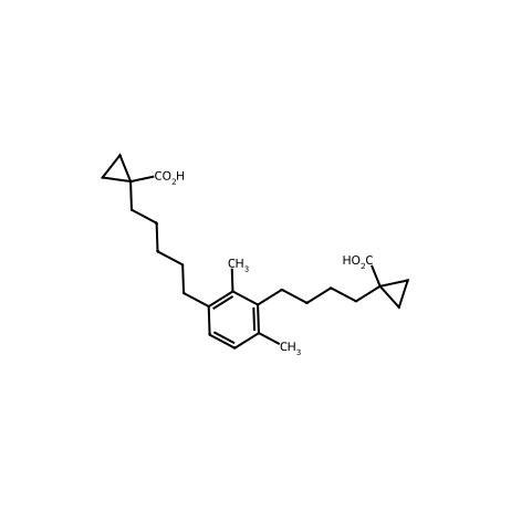 Cc1ccc(CCCCCC2(C(=O)O)CC2)c(C)c1CCCCC1(C(=O)O)CC1